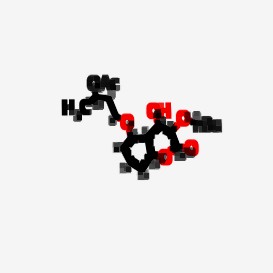 CCCCOc1c(O)c2c(OCCC(C)OC(C)=O)cccc2oc1=O